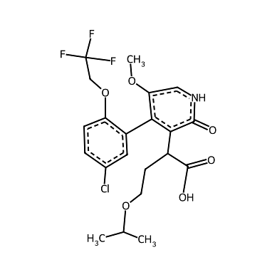 COc1c[nH]c(=O)c(C(CCOC(C)C)C(=O)O)c1-c1cc(Cl)ccc1OCC(F)(F)F